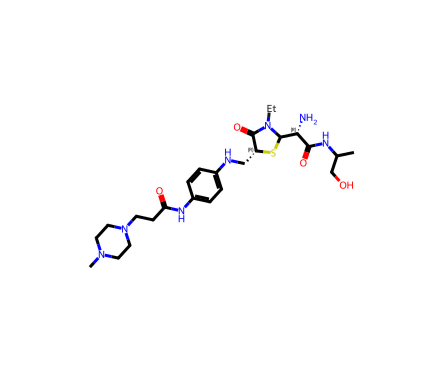 CCN1C(=O)[C@@H](CNc2ccc(NC(=O)CCN3CCN(C)CC3)cc2)SC1[C@H](N)C(=O)NC(C)CO